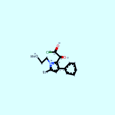 CCc1cc(-c2ccccc2)c(C(=O)C(=O)Cl)n1CCOC